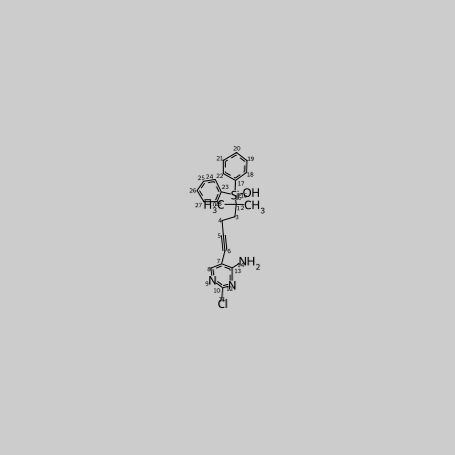 CC(C)(CCC#Cc1cnc(Cl)nc1N)[Si](O)(c1ccccc1)c1ccccc1